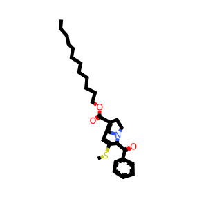 CCCCCCCCCCCCOC(=O)C1=C2C=C(SC)C(C(=O)c3ccccc3)N2CC1